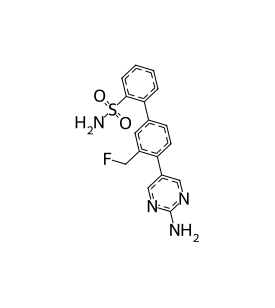 Nc1ncc(-c2ccc(-c3ccccc3S(N)(=O)=O)cc2CF)cn1